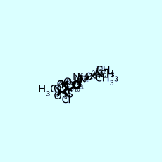 COC(=O)c1c(Cl)sc(-c2ccc3c(c2)ncn3COCC[Si](C)(C)C)c1[N+](=O)[O-]